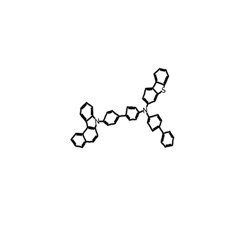 c1ccc(-c2ccc(N(c3ccc(-c4ccc(-n5c6ccccc6c6c7ccccc7ccc65)cc4)cc3)c3ccc4c(c3)sc3ccccc34)cc2)cc1